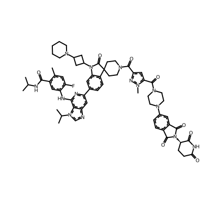 Cc1cc(F)c(Nc2nc(-c3ccc4c(c3)N(C3CC(N5CCCCC5)C3)C(=O)C43CCN(C(=O)c4cc(C(=O)N5CCN(c6ccc7c(c6)C(=O)N([C@@H]6CCC(=O)NC6=O)C7=O)CC5)n(C)n4)CC3)cc3ncn(C(C)C)c23)cc1C(=O)NC(C)C